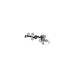 COC(=O)CCCNC(=O)c1ccc(CCc2c[nH]c3nc(N)[nH]c(=O)c23)cc1